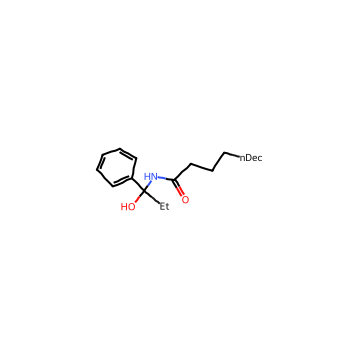 CCCCCCCCCCCCCC(=O)NC(O)(CC)c1ccccc1